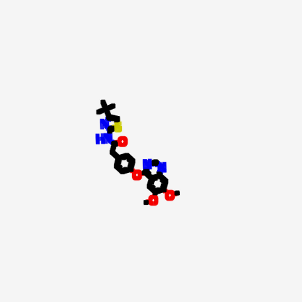 COc1cc2ncnc(Oc3ccc(CC(=O)Nc4nc(C(C)(C)C)cs4)cc3)c2cc1OC